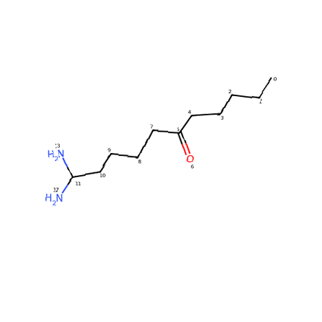 CCCCCC(=O)CCCCC(N)N